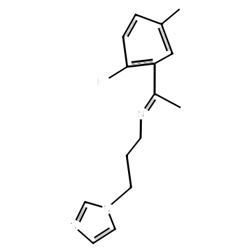 C/C(=N\CCCn1ccnc1)c1cc(C)ccc1O